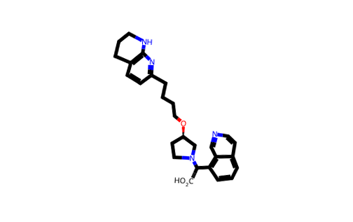 O=C(O)C(c1cccc2ccncc12)N1CC[C@@H](OCCCCc2ccc3c(n2)NCCC3)C1